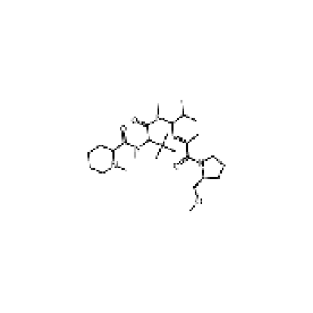 COC[C@@H]1CCCN1C(=O)/C(C)=C/C(C(C)C)N(C)C(=O)C(NC(=O)C1CCCCN1C)C(C)(C)C